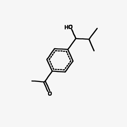 CC(=O)c1ccc(C(O)C(C)C)cc1